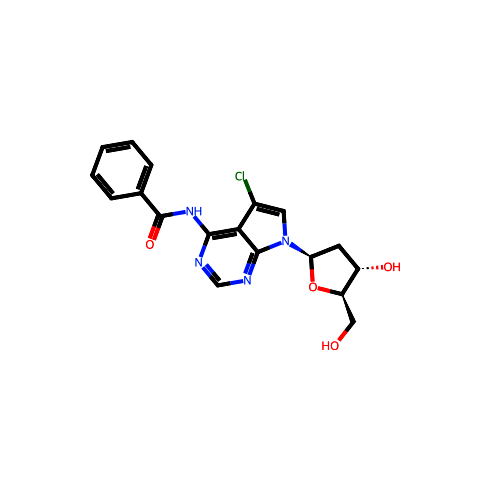 O=C(Nc1ncnc2c1c(Cl)cn2[C@H]1C[C@H](O)[C@@H](CO)O1)c1ccccc1